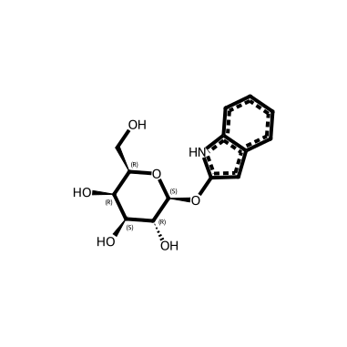 OC[C@H]1O[C@@H](Oc2cc3ccccc3[nH]2)[C@H](O)[C@@H](O)[C@H]1O